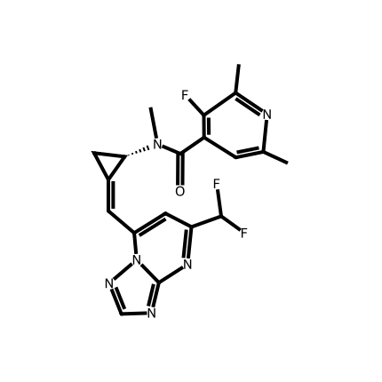 Cc1cc(C(=O)N(C)[C@H]2C/C2=C/c2cc(C(F)F)nc3ncnn23)c(F)c(C)n1